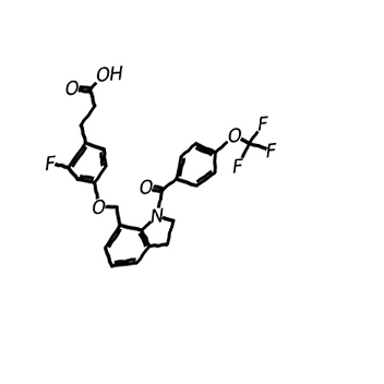 O=C(O)CCc1ccc(OCc2cccc3c2N(C(=O)c2ccc(OC(F)(F)F)cc2)CC3)cc1F